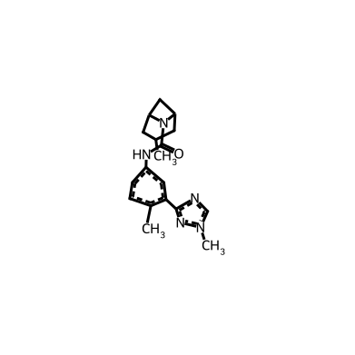 Cc1ccc(NC(=O)N2C3CC(C)CC2C3)cc1-c1ncn(C)n1